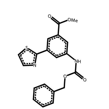 COC(=O)c1cc(NC(=O)OCc2ccccc2)cc(-c2nccs2)c1